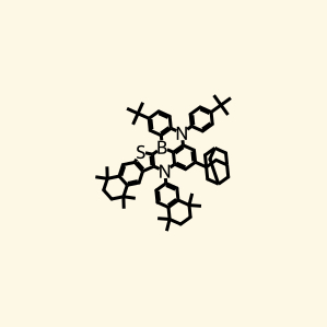 CC(C)(C)c1ccc(N2c3ccc(C(C)(C)C)cc3B3c4sc5cc6c(cc5c4N(c4ccc5c(c4)C(C)(C)CCC5(C)C)c4cc(C57CC8CC(CC(C8)C5)C7)cc2c43)C(C)(C)CCC6(C)C)cc1